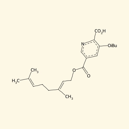 CC(C)=CCC/C(C)=C/COC(=O)c1cnc(C(=O)O)c(OCC(C)C)c1